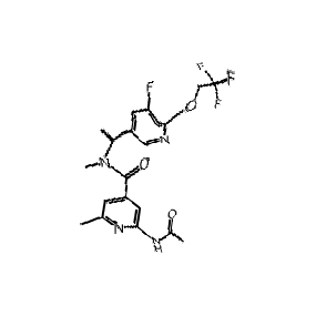 CC(=O)Nc1cc(C(=O)N(C)C(C)c2cnc(OCC(F)(F)F)c(F)c2)cc(C)n1